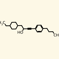 CCCCc1ccc(C#CC(O)CC2CCC(CC)CC2)cc1